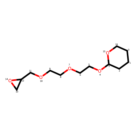 C1CCC(OCCOCCOCC2CO2)OC1